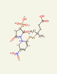 CC(C)(CCC(=O)O)SSC1=CC=C([N+](=O)[O-])CN1N1C(=O)CC(S(=O)(=O)O)C1=O